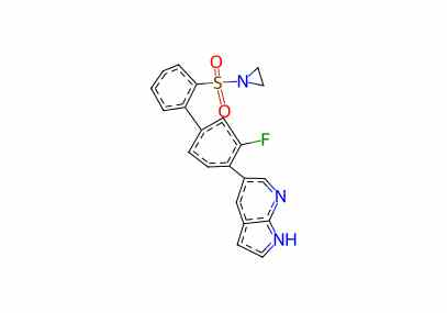 O=S(=O)(c1ccccc1-c1ccc(-c2cnc3[nH]ccc3c2)c(F)c1)N1CC1